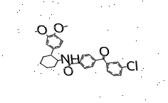 COc1ccc(C2CCCCC2NC(=O)c2ccc(C(=O)c3cccc(Cl)c3)cc2)cc1OC